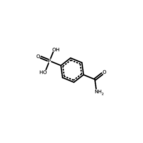 NC(=O)c1ccc(P(=O)(O)O)cc1